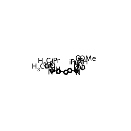 COC(=O)N[C@H](C(=O)N1CCCC[C@H]1c1ncc(-c2ccc3cc(-c4ccc(-c5cnc([C@@H]6C=C(C)CN6C(=O)[C@@H](C)C(C)C)[nH]5)cc4)ccc3c2)[nH]1)C(C)C